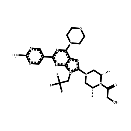 C[C@@H]1CN(c2nc3c(N4CCOCC4)nc(-c4cnc(N)nc4)nc3n2CC(F)(F)F)C[C@H](C)N1C(=O)CO